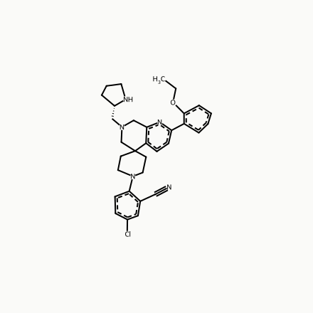 CCOc1ccccc1-c1ccc2c(n1)CN(C[C@@H]1CCCN1)CC21CCN(c2ccc(Cl)cc2C#N)CC1